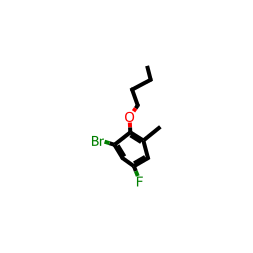 CCCCOc1c(C)cc(F)cc1Br